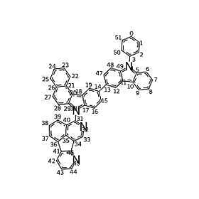 c1ccc(-n2c3ccccc3c3cc(-c4ccc5c(c4)c4c6ccccc6ccc4n5-c4ncc5c6c(cccc46)-c4cccnc4-5)ccc32)cc1